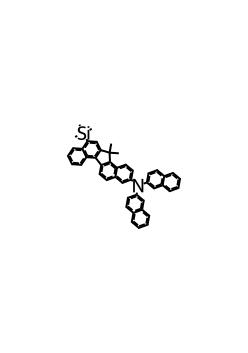 CC1(C)c2cc([Si](C)(C)C)c3ccccc3c2-c2ccc3cc(N(c4ccc5ccccc5c4)c4ccc5ccccc5c4)ccc3c21